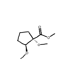 COC(=O)[C@]1(OC)CCC[C@@H]1OC